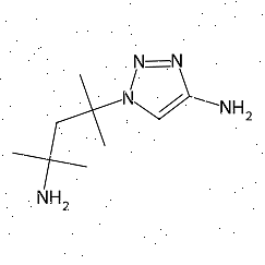 CC(C)(N)CC(C)(C)n1cc(N)nn1